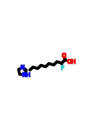 C1=NCCN1.CCCCCCCCC(F)C(=O)O